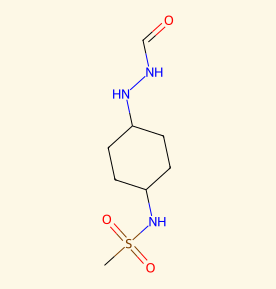 CS(=O)(=O)NC1CCC(NNC=O)CC1